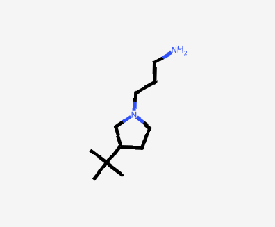 CC(C)(C)C1CCN(CCCN)C1